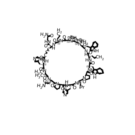 C=CC[C@@H]1NC(=O)[C@H](Cc2c[nH]c3ccccc23)NC(=O)C2CCCN2C(=O)[C@H](CC(C)C)NC(=O)[C@H](Cc2cnc[nH]2)NC(=O)C2CCCN2C(=O)[C@H](CC(N)=O)NC(=O)[C@H](C)N(C)C(=O)[C@H](Cc2cnc[nH]2)NC(=O)CSC[C@@H](C(=O)NCC(N)=O)NC(=O)[C@H](CC=C)NC(=O)[C@H](CCCC)N(C)C(=O)[C@H](CCCC)N(C)C(=O)[C@H](Cc2c[nH]c3ccccc23)NC1=O